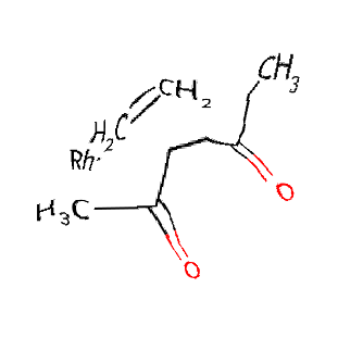 C=C.CC(=O)CC(C)=O.[Rh]